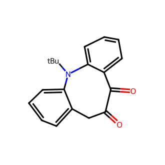 CC(C)(C)N1c2ccccc2CC(=O)C(=O)c2ccccc21